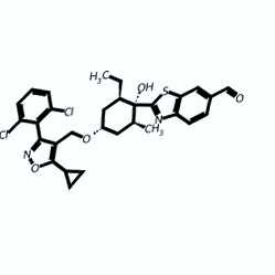 CC[C@@H]1C[C@@H](OCc2c(-c3c(Cl)cccc3Cl)noc2C2CC2)C[C@H](C)[C@]1(O)c1nc2ccc(C=O)cc2s1